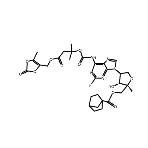 Cc1oc(=O)oc1COC(=O)CC(C)(C)OC(=O)Nc1nc(F)nc2c1ncn2C1CO[C@](C)(COC(=O)C23CCC(CC2)C3)[C@H]1O